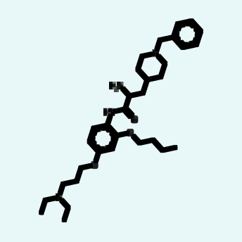 CCCCOc1cc(OCCCN(CC)CC)ccc1NC(=O)C(N)CC1CCN(Cc2ccccc2)CC1